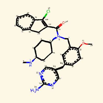 CN[C@H]1CC[C@@H](N(Cc2cc(-c3cnc(N)nc3)ccc2OC)C(=O)C2=C(Cl)c3ccccc3C2)CC1